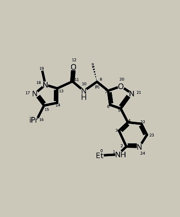 CCNc1cc(-c2cc([C@@H](C)NC(=O)c3cc(C(C)C)nn3C)on2)ccn1